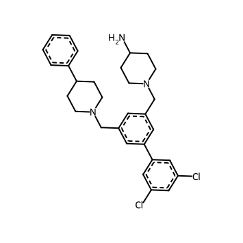 NC1CCN(Cc2cc(CN3CCC(c4ccccc4)CC3)cc(-c3cc(Cl)cc(Cl)c3)c2)CC1